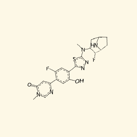 CN(c1nnc(-c2cc(F)c(-c3cc(=O)n(C)cn3)cc2O)s1)C1CC2CCC(N2)C1F